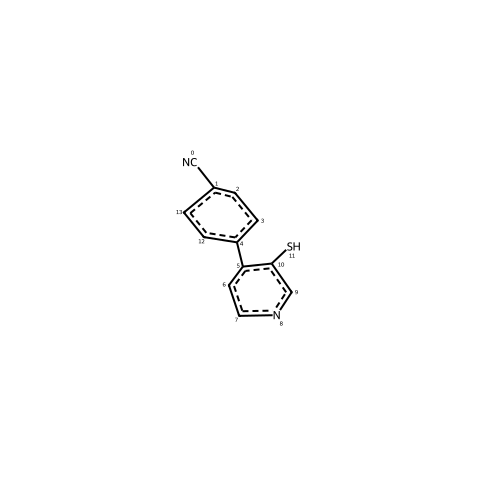 N#Cc1ccc(-c2ccncc2S)cc1